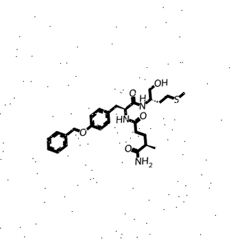 CSCC[C@@H](CO)NC(=O)[C@H](Cc1ccc(OCc2ccccc2)cc1)NC(=O)[CH]C[C@@H](C)C(N)=O